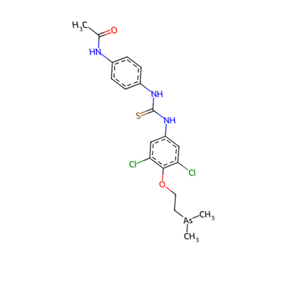 CC(=O)Nc1ccc(NC(=S)Nc2cc(Cl)c(OCC[As](C)C)c(Cl)c2)cc1